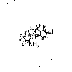 CC1(C)C[C@]2(C=C(N)C1=O)CCN(C(=O)c1c(F)ccc(Cl)c1F)C2